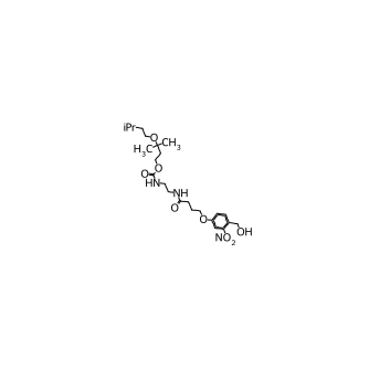 CC(C)CCOC(C)(C)CCOC(=O)NCCNC(=O)CCCOc1ccc(CO)c([N+](=O)[O-])c1